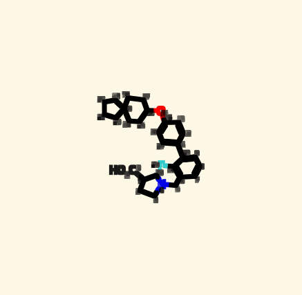 O=C(O)C1CCN(Cc2cccc(-c3ccc(OC4CCC5(CCCC5)CC4)cc3)c2F)C1